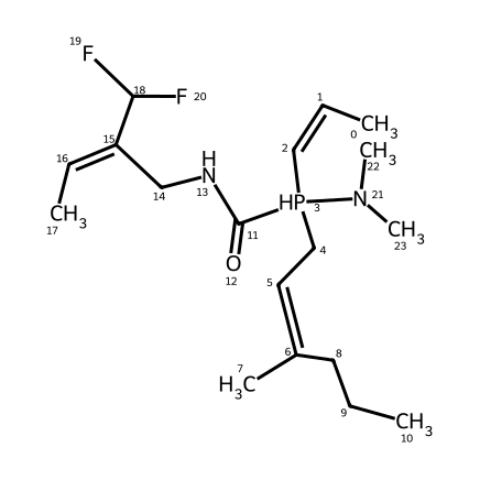 C/C=C\[PH](CC=C(C)CCC)(C(=O)NC/C(=C\C)C(F)F)N(C)C